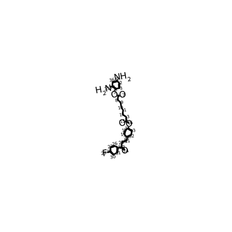 Nc1ccc(OC(=O)CCCCCCC(=O)Oc2ccc(C=CC(=O)c3ccc(F)cc3)cc2)c(N)c1